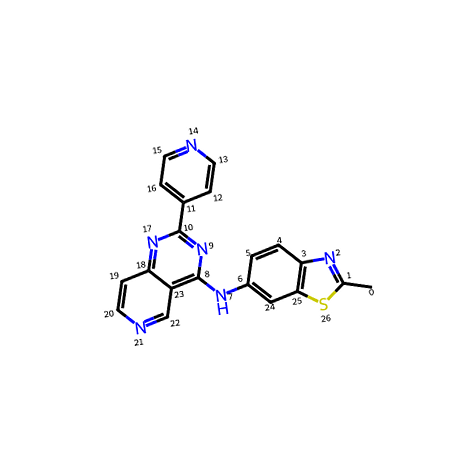 Cc1nc2ccc(Nc3nc(-c4ccncc4)nc4ccncc34)cc2s1